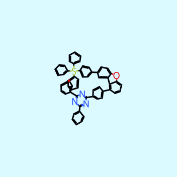 c1ccc(-c2nc(-c3ccccc3)nc(-c3ccc(-c4cccc5oc6ccc(-c7ccc(S(c8ccccc8)(c8ccccc8)c8ccccc8)cc7)cc6c45)cc3)n2)cc1